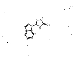 O=C1OCC(C2C=Cc3ccccc32)O1